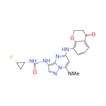 CNc1cc(Nc2cccc3c2OCCC3=O)nc2c(NC(=O)N[C@@H]3C[C@@H]3F)cnn12